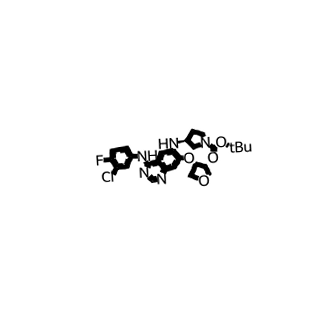 CC(C)(C)OC(=O)N1CC[C@H](Nc2cc3c(Nc4ccc(F)c(Cl)c4)ncnc3cc2OC2CCOC2)C1